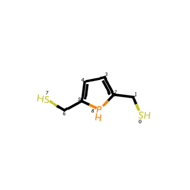 SCc1ccc(CS)[pH]1